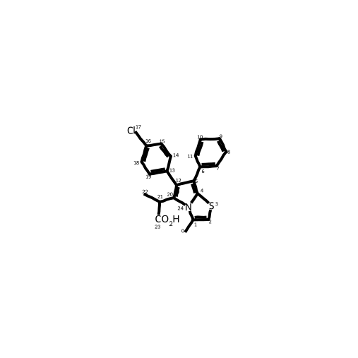 Cc1csc2c(-c3ccccc3)c(-c3ccc(Cl)cc3)c(C(C)C(=O)O)n12